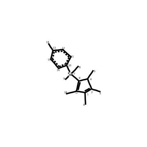 CC1=C(C)C(C)C([Si](C)(C)c2ccc(C)cc2)=C1C